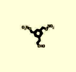 O=CCCc1cc(CO[N+](=O)[O-])cc(CO[N+](=O)[O-])c1